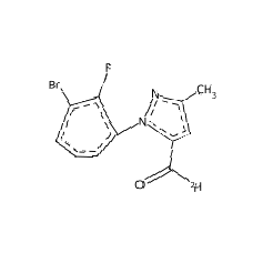 [2H]C(=O)c1cc(C)nn1-c1cccc(Br)c1F